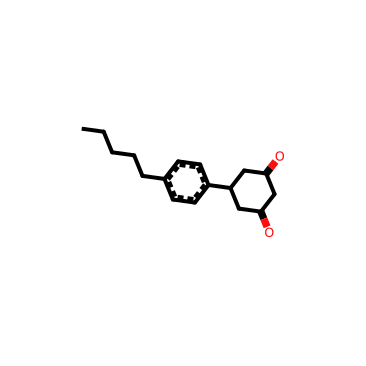 CCCCCc1ccc(C2CC(=O)CC(=O)C2)cc1